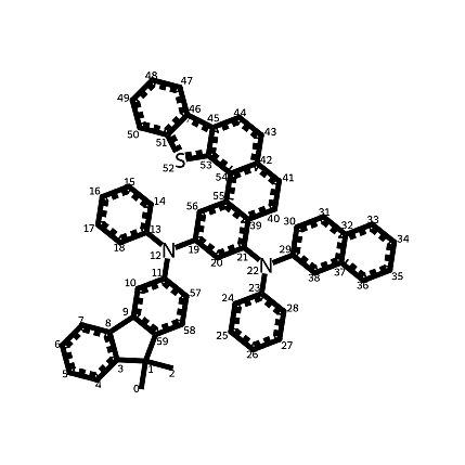 CC1(C)c2ccccc2-c2cc(N(c3ccccc3)c3cc(N(c4ccccc4)c4ccc5ccccc5c4)c4ccc5ccc6c7ccccc7sc6c5c4c3)ccc21